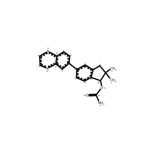 CC1(C)Cc2cc(-c3ccc4nccnc4c3)ccc2C1OC(N)=O